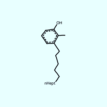 CCCCCCCCCCCCc1cccc(O)c1C